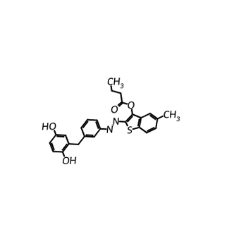 CCCC(=O)Oc1c(N=Nc2cccc(Cc3cc(O)ccc3O)c2)sc2ccc(C)cc12